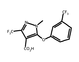 Cn1nc(C(F)(F)F)c(C(=O)O)c1Oc1cccc(C(F)(F)F)c1